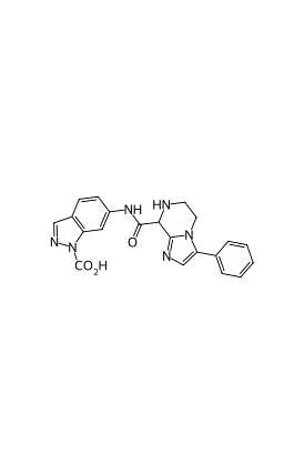 O=C(Nc1ccc2cnn(C(=O)O)c2c1)C1NCCn2c(-c3ccccc3)cnc21